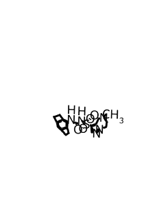 CN1CCn2ncc(S(=O)(=O)NC(=O)Nc3c4c(cc5c3CC5)CC4)c2C1=O